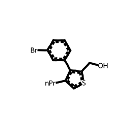 CCCc1csc(CO)c1-c1cccc(Br)c1